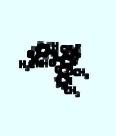 COc1nc(C)ccc1Oc1nnc(C(F)(F)F)c(C)c1C(=O)Nc1cccc(S(C)(=N)=O)c1